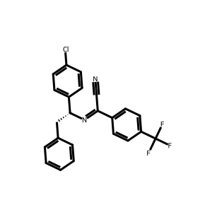 N#C/C(=N\[C@H](Cc1ccccc1)c1ccc(Cl)cc1)c1ccc(C(F)(F)F)cc1